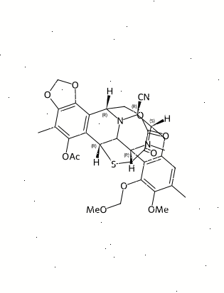 COCOc1c(OC)c(C)cc2c1[C@@H]1C3[C@@H]4SCC(=O)C(=O)OC[C@@H](c5c6c(c(C)c(OC(C)=O)c54)OCO6)N3[C@@H](C#N)[C@H](C2)N1C